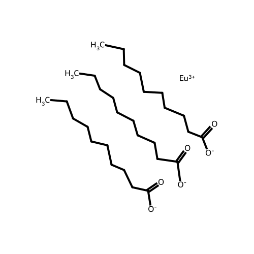 CCCCCCCCCC(=O)[O-].CCCCCCCCCC(=O)[O-].CCCCCCCCCC(=O)[O-].[Eu+3]